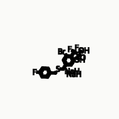 O=P(O)(O)C(F)(F)c1ccc(CSCc2ccc(F)cc2)cc1Br.[NaH].[NaH]